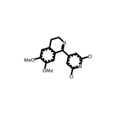 COc1cc2c(cc1OC)C(c1cc(Cl)nc(Cl)c1)=NCC2